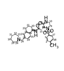 Cc1ccc(S(=O)(=O)N2CCNC(=O)[C@H]2CC(=O)N[C@@H]2CCCc3cc(CN4CCCCCC4)ccc32)cc1